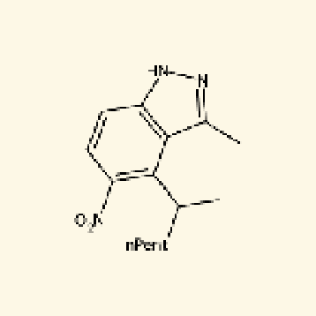 CCCCCC(C)c1c([N+](=O)[O-])ccc2[nH]nc(C)c12